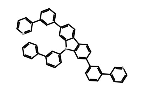 c1ccc(-c2cccc(-n3c4cc(-c5cccc(-c6cccnc6)c5)ccc4c4ccc(-c5cccc(-c6cccnc6)c5)cc43)c2)cc1